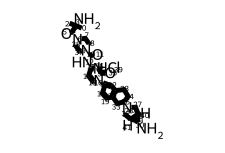 CC(C)(N)C(=O)N1CCN(C(=O)Nc2ccn(-c3ccc4c(c3)CCC(N3C[C@@H]5C(N)[C@@H]5C3)C4)c(=O)n2)CC1.Cl